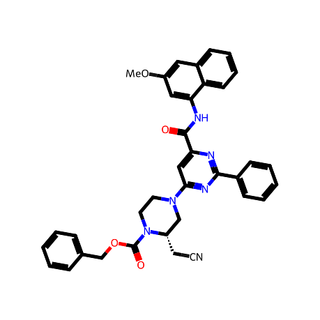 COc1cc(NC(=O)c2cc(N3CCN(C(=O)OCc4ccccc4)[C@@H](CC#N)C3)nc(-c3ccccc3)n2)c2ccccc2c1